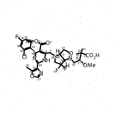 COC(=O)C1=C(CN2CC(F)(F)[C@H]3[C@@H]2CON3C[C@H](OC)C(C)(C)C(=O)O)NC(c2ncoc2C)=N[C@H]1c1ccc(F)cc1Cl